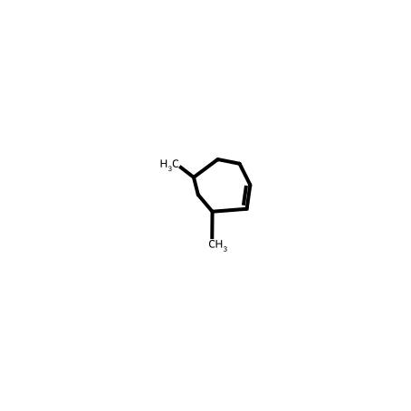 CC1C=CCCC(C)C1